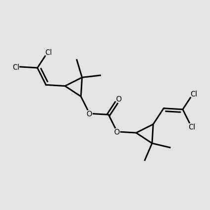 CC1(C)C(C=C(Cl)Cl)C1OC(=O)OC1C(C=C(Cl)Cl)C1(C)C